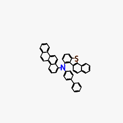 c1ccc(-c2ccc(N(c3cccc4c3ccc3c5ccccc5ccc43)c3cccc4sc5c6ccccc6ccc5c34)cc2)cc1